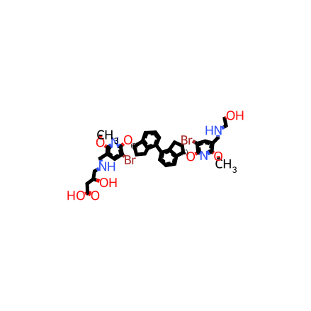 COc1nc(O[C@H]2CCc3c(-c4cccc5c4CC[C@@H]5Oc4nc(OC)c(CNCC(O)CC(=O)O)cc4Br)cccc32)c(Br)cc1CNCCO